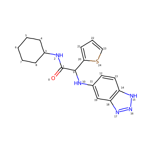 O=C(NC1CCCCC1)C(Nc1ccc2[nH]nnc2c1)c1cccs1